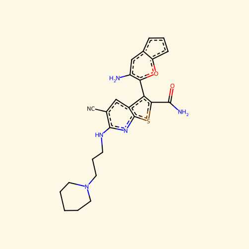 N#Cc1cc2c(-c3oc4cccc-4cc3N)c(C(N)=O)sc2nc1NCCCN1CCCCC1